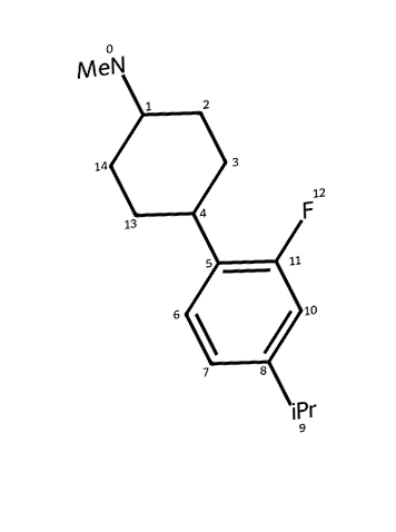 CNC1CCC(c2ccc(C(C)C)cc2F)CC1